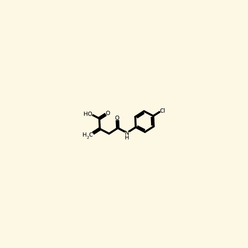 C=C(CC(=O)Nc1ccc(Cl)cc1)C(=O)O